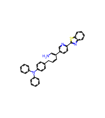 N/C=C(\C=C/Cc1ccc(N(c2ccccc2)c2ccccc2)cc1)c1ccc(-c2nc3ccccc3s2)nc1